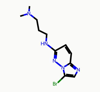 CN(C)CCCNc1ccc2ncc(Br)n2n1